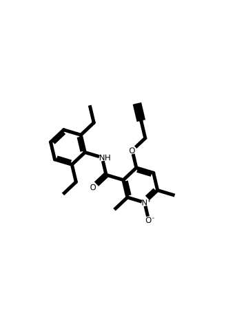 C#CCOc1cc(C)[n+]([O-])c(C)c1C(=O)Nc1c(CC)cccc1CC